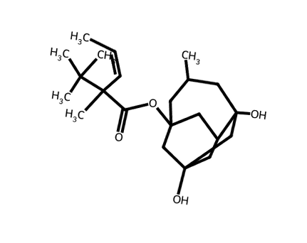 C/C=C\C(C)(C(=O)OC12CC(C)CC3(O)CC(O)(CC3C1)C2)C(C)(C)C